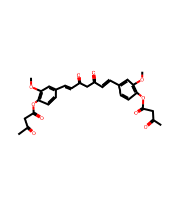 COc1cc(/C=C/C(=O)CC(=O)/C=C/c2ccc(OC(=O)CC(C)=O)c(OC)c2)ccc1OC(=O)CC(C)=O